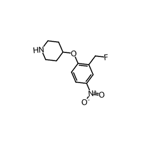 O=[N+]([O-])c1ccc(OC2CCNCC2)c(CF)c1